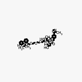 Cc1ncsc1-c1ccc(CNC(=O)[C@@H]2C[C@@H](O)CN2C(=O)C(NC(=O)COCCOCCOCCO[Si](c2ccccc2)(c2ccccc2)C(C)(C)C)C(C)(C)C)cc1